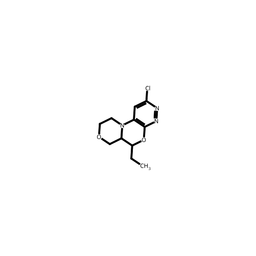 CCC1Oc2nnc(Cl)cc2N2CCOCC12